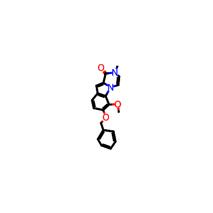 COc1c(OCc2ccccc2)ccc2cc3c(=O)n(C)ccn3c12